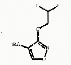 CC(C)(C)c1conc1OCC(F)F